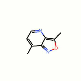 Cc1ccnc2c(C)onc12